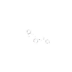 CCOP(=O)(OCC)C(Cc1cccc(CNC(=O)c2ccccc2)c1)(Oc1ccc(O)cc1)P(=O)(OCC)OCC